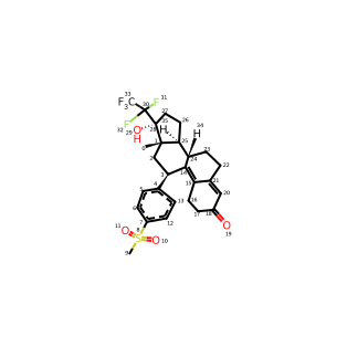 C[C@]12C[C@H](c3ccc(S(C)(=O)=O)cc3)C3=C4CCC(=O)C=C4CC[C@H]3[C@@H]1CC[C@]2(O)C(F)(F)C(F)(F)F